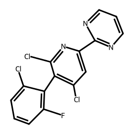 Fc1cccc(Cl)c1-c1c(Cl)cc(-c2ncccn2)nc1Cl